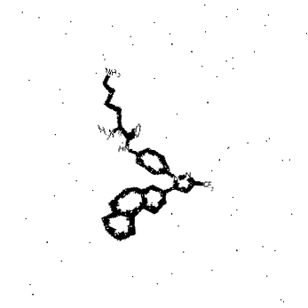 NCCCC[C@H](N)C(=O)Nc1ccc(-n2nc(C(F)(F)F)cc2-c2ccc3c(ccc4ccccc43)c2)cc1